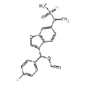 CN(c1ccc2c(C(OC=O)c3ccc(F)cc3)coc2c1)S(C)(=O)=O